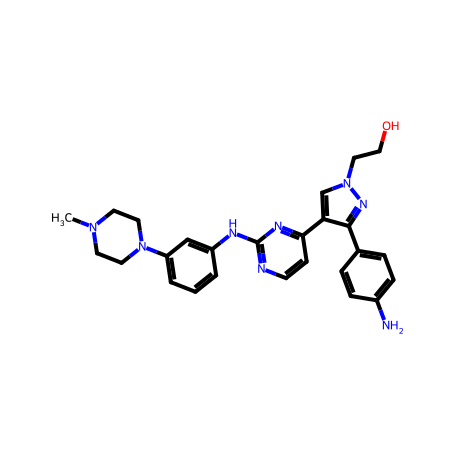 CN1CCN(c2cccc(Nc3nccc(-c4cn(CCO)nc4-c4ccc(N)cc4)n3)c2)CC1